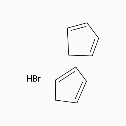 Br.C1=CCC=C1.C1=CCC=C1